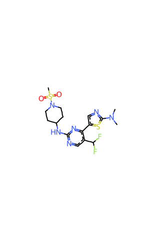 CN(C)c1ncc(-c2nc(NC3CCN(S(C)(=O)=O)CC3)ncc2C(F)F)s1